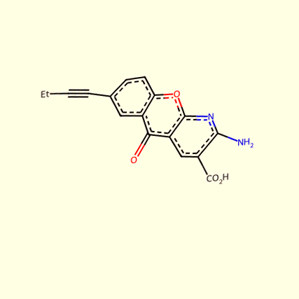 CCC#Cc1ccc2oc3nc(N)c(C(=O)O)cc3c(=O)c2c1